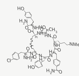 CNCCCC[C@@H]1NC(=O)[C@@H](Cc2ccc(C(N)=O)cc2)NC(=O)[C@H](Cc2ccc(O)cc2)NC(=O)[C@H](NC(=O)[C@@H](N)Cc2ccc(Cl)cc2)CSSC[C@@H](C(=O)N[C@H](Cc2ccc(O)cc2)C(N)=O)NC(=O)[C@H]([C@@H](C)O)NC1=O